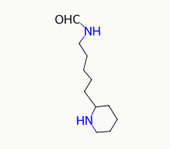 O=CNCCCCCC1CCCCN1